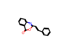 O=c1oc(C=Cc2ccccc2)nc2ccccc12